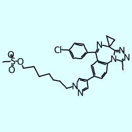 Cc1nnc2n1-c1ccc(-c3cnn(CCCCCCCOS(C)(=O)=O)c3)cc1C(c1ccc(Cl)cc1)=NC21CC1